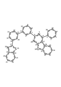 c1ccc(-c2nc(-c3cccc(-c4cccc(-c5nc6ccccc6s5)c4)c3)nc3oc4ccccc4c23)cc1